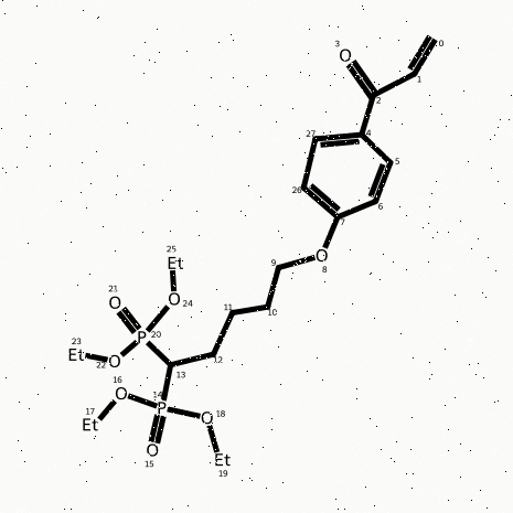 C=CC(=O)c1ccc(OCCCCC(P(=O)(OCC)OCC)P(=O)(OCC)OCC)cc1